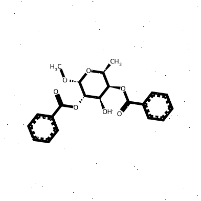 CO[C@@H]1O[C@@H](C)[C@@H](OC(=O)c2ccccc2)[C@@H](O)[C@@H]1OC(=O)c1ccccc1